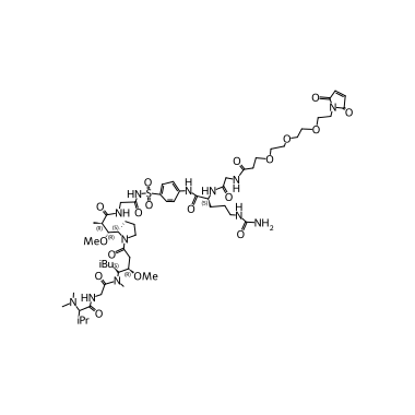 CC[C@H](C)C([C@@H](CC(=O)N1CCC[C@H]1[C@H](OC)[C@@H](C)C(=O)NCC(=O)NS(=O)(=O)c1ccc(NC(=O)[C@H](CCCNC(N)=O)NC(=O)CNC(=O)CCOCCOCCOCCN2C(=O)C=CC2=O)cc1)OC)N(C)C(=O)CNC(=O)C(C(C)C)N(C)C